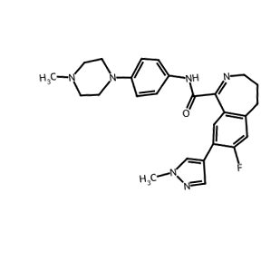 CN1CCN(c2ccc(NC(=O)C3=NCCCc4cc(F)c(-c5cnn(C)c5)cc43)cc2)CC1